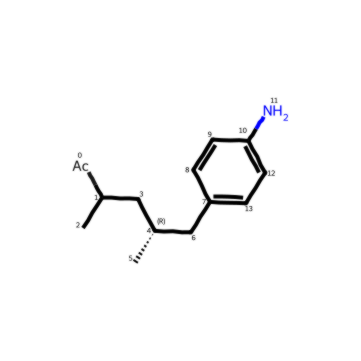 CC(=O)C(C)C[C@@H](C)Cc1ccc(N)cc1